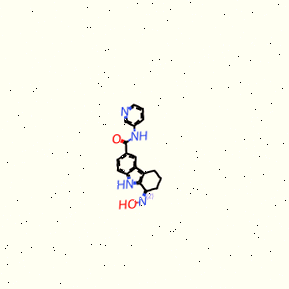 O=C(Nc1cccnc1)c1ccc2[nH]c3c(c2c1)CCC/C3=N/O